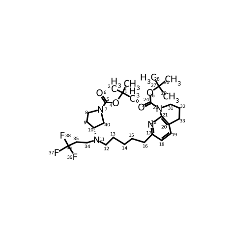 CC(C)(C)OC(=O)N1CC[C@@H](N(CCCCCc2ccc3c(n2)N(C(=O)OC(C)(C)C)CCC3)CCC(F)(F)F)C1